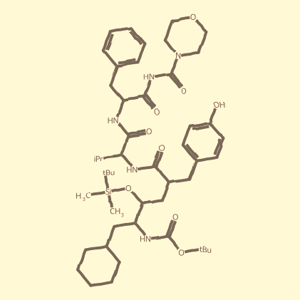 CC(C)C(NC(=O)C(Cc1ccc(O)cc1)CC(O[Si](C)(C)C(C)(C)C)C(CC1CCCCC1)NC(=O)OC(C)(C)C)C(=O)NC(Cc1ccccc1)C(=O)NC(=O)N1CCOCC1